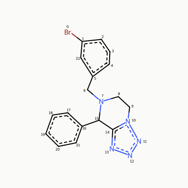 Brc1cccc(CN2CCn3nnnc3C2c2ccccc2)c1